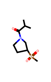 CC(C)C(=O)N1CCC(S(C)(=O)=O)C1